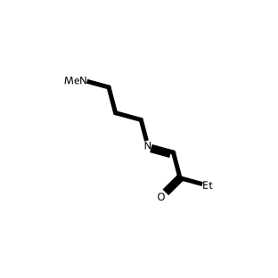 CCC(=O)C=NCCCNC